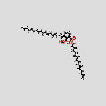 CCCCCCCCCCCCCCCCCCc1cccc(C(=O)OCCCCCCCCCCCCCCCC)c1C(=O)O